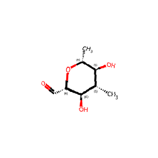 C[C@@H]1[C@@H](O)[C@H](C=O)O[C@H](C)[C@H]1O